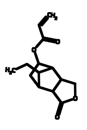 C=CC(=O)OC1CC2C(CC)C1C1COC(=O)C21